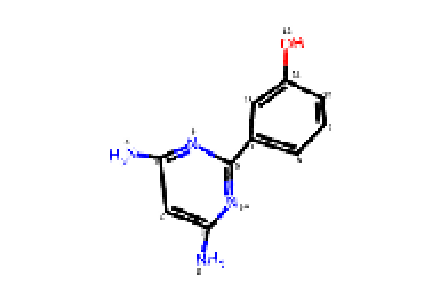 Nc1cc(N)nc(-c2cccc(O)c2)n1